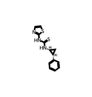 S=C(Nc1nccs1)N[C@@H]1C[C@@H]1c1ccccc1